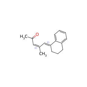 CC(=O)/C=C(C)\C=C1/CCCc2ccccc21